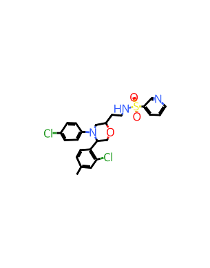 Cc1ccc(C2COC(CCNS(=O)(=O)c3cccnc3)CN2c2ccc(Cl)cc2)c(Cl)c1